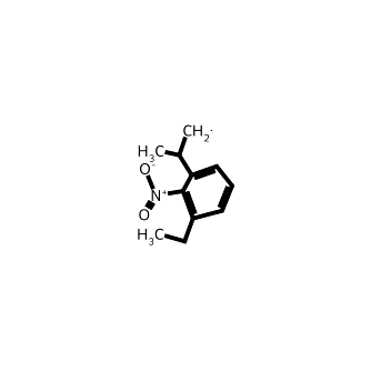 [CH2]C(C)c1cccc(CC)c1[N+](=O)[O-]